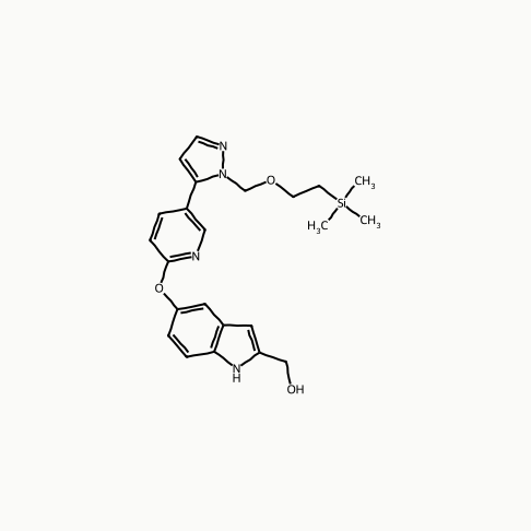 C[Si](C)(C)CCOCn1nccc1-c1ccc(Oc2ccc3[nH]c(CO)cc3c2)nc1